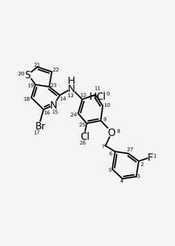 Cl.Fc1cccc(COc2ccc(Nc3nc(Br)cc4sccc34)cc2Cl)c1